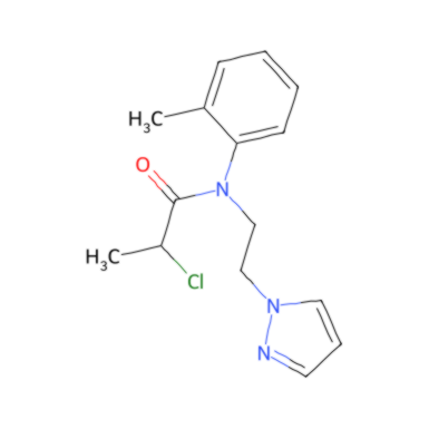 Cc1ccccc1N(CCn1cccn1)C(=O)C(C)Cl